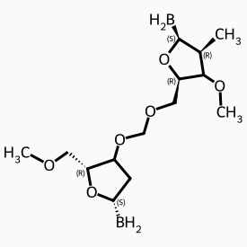 B[C@@H]1O[C@H](COCOC2C[C@H](B)O[C@@H]2COC)C(OC)[C@@H]1C